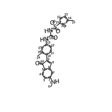 CNc1ccc2c(c1)C=C(c1ccc(NC(=O)NS(=O)(=O)c3ccc(C)s3)cc1C)C2=O